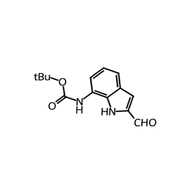 CC(C)(C)OC(=O)Nc1cccc2cc(C=O)[nH]c12